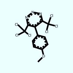 COc1ccc(-c2c(C(Cl)(Cl)Cl)nnnc2C(Cl)(Cl)Cl)cc1